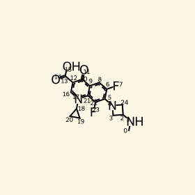 CNC1CN(c2c(F)cc3c(=O)c(C(=O)O)cn(C4CC4)c3c2F)C1